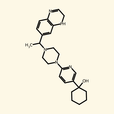 CC(c1ccc2c(c1)PCC=N2)N1CCN(c2ccc(C3(O)CCCCC3)cn2)CC1